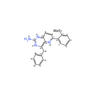 CSc1ccccc1-c1ccc2nc(N)nc(Cc3ccccc3)c2n1